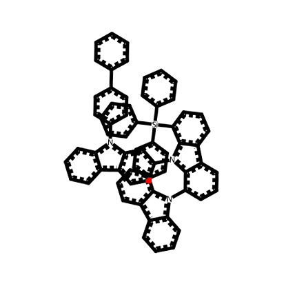 c1ccc(-c2ccc(-n3c4ccccc4c4ccc(-n5c6c(-n7c8ccccc8c8ccccc87)cccc6c6cccc([Si](c7ccccc7)(c7ccccc7)c7ccccc7)c65)cc43)cc2)cc1